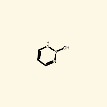 ON1N=CC=CN1